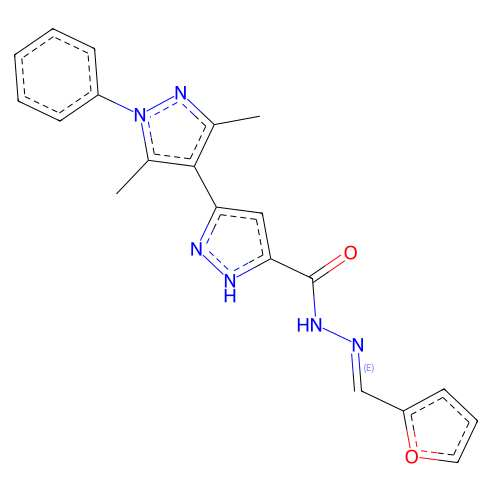 Cc1nn(-c2ccccc2)c(C)c1-c1cc(C(=O)N/N=C/c2ccco2)[nH]n1